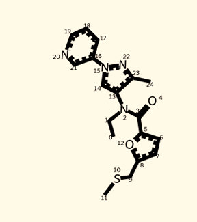 CCN(C(=O)c1ccc(CSC)o1)c1cn(-c2cccnc2)nc1C